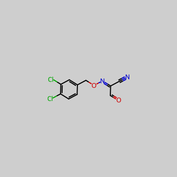 N#C/C(C=O)=N/OCc1ccc(Cl)c(Cl)c1